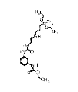 CCOC(=O)Nc1cccc(NC(=O)NCCNCCC[Si](C)(OCC)OCC)c1